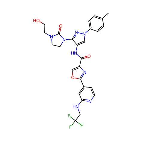 Cc1ccc(-n2cc(NC(=O)c3coc(-c4ccnc(NCC(F)(F)F)c4)n3)c(N3CCN(CCO)C3=O)n2)cc1